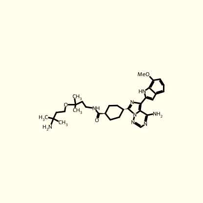 COc1cccc2cc(-c3nc([C@H]4CC[C@H](C(=O)NCCC(C)(C)OCCC(C)(C)N)CC4)n4ncnc(N)c34)[nH]c12